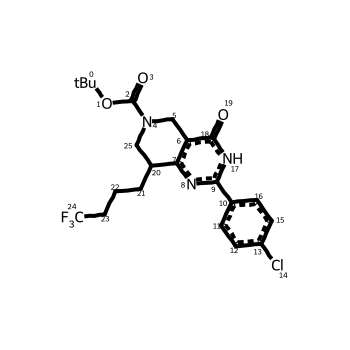 CC(C)(C)OC(=O)N1Cc2c(nc(-c3ccc(Cl)cc3)[nH]c2=O)C(CCCC(F)(F)F)C1